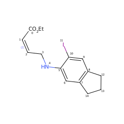 CCOC(=O)/C=C\CNc1cc2c(cc1I)CCC2